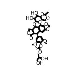 COc1cc([C@@H]2c3cc4c(cc3C(OC3OC5COC(C)OC5C(O)C3O)C3COC(=O)C32)OCO4)cc(OC)c1OC(=S)OCC(O)CO